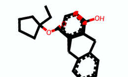 CCC1(OC(=O)C2C3c4ccccc4C(c4ccccc43)C2C(=O)O)CCCC1